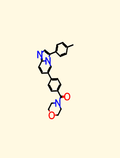 Cc1ccc(-c2cnc3ccc(-c4ccc(C(=O)N5CCOCC5)cc4)cn23)cc1